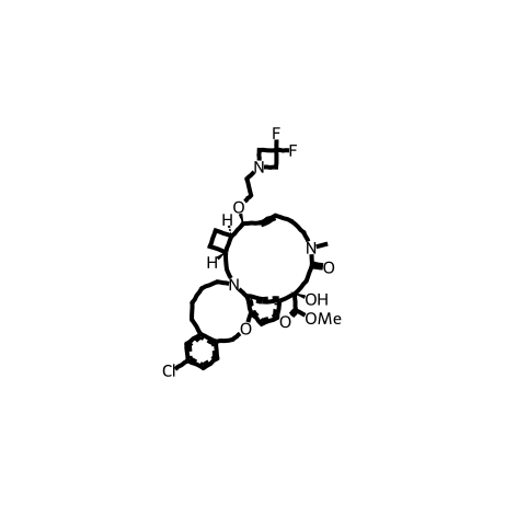 COC(=O)[C@@]1(O)CC(=O)N(C)CC/C=C/[C@H](OCCN2CC(F)(F)C2)[C@@H]2CC[C@H]2CN2CCCCc3cc(Cl)ccc3COc3ccc1cc32